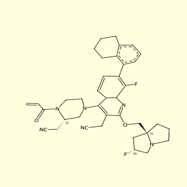 C=CC(=O)N1CCN(C2=C(CC#N)C(OC[C@@]34CCCN3C[C@H](F)C4)=NC3C(F)=C(c4cccc5c4CCCC5)C=CC23)C[C@@H]1CC#N